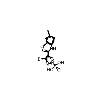 Cc1ccc(NC(=O)c2nn(P(=O)(O)O)nc2Br)c(Cl)c1